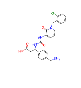 NCc1ccc(C(CC(=O)O)NC(=O)Nc2cccn(Cc3ccccc3Cl)c2=O)cc1